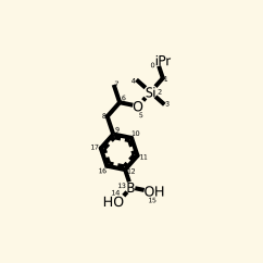 CC(C)C[Si](C)(C)OC(C)Cc1ccc(B(O)O)cc1